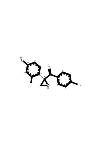 O=C(c1ccc(I)cc1)[C@]1(c2ccc(F)cc2F)CO1